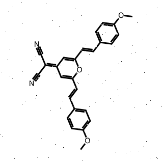 COc1ccc(/C=C/C2=CC(=C(C#N)C#N)C=C(/C=C/c3ccc(OC)cc3)O2)cc1